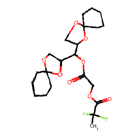 CC(F)(F)C(=O)OCC(=O)OC(C1COC2(CCCCC2)O1)C1COC2(CCCCC2)O1